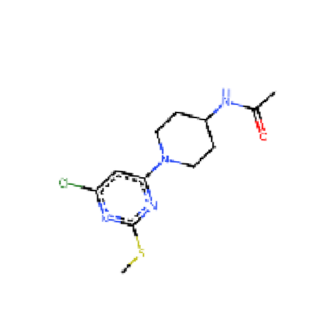 CSc1nc(Cl)cc(N2CCC(NC(C)=O)CC2)n1